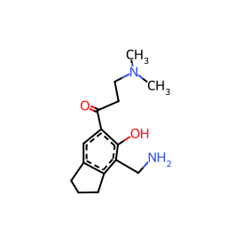 CN(C)CCC(=O)c1cc2c(c(CN)c1O)CCC2